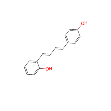 Oc1ccc(C=CC=Cc2ccccc2O)cc1